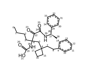 CCCCC(CC1(CCc2ccccc2)CCC1)(NC(=O)O)C(=O)C(=O)N[C@H](C)c1ccccc1